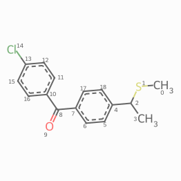 CSC(C)c1ccc(C(=O)c2ccc(Cl)cc2)cc1